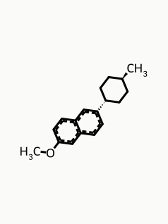 COc1ccc2cc([C@H]3CC[C@H](C)CC3)ccc2c1